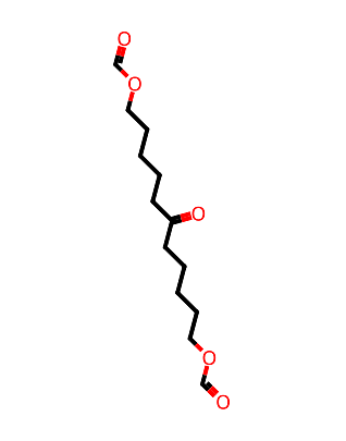 O=COCCCCCC(=O)CCCCCOC=O